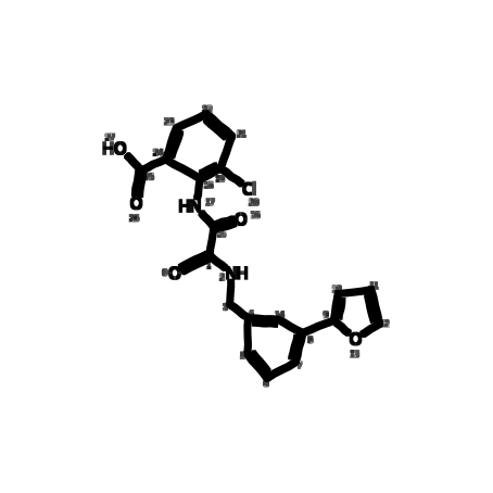 O=C(NCc1cccc(-c2ccco2)c1)C(=O)Nc1c(Cl)cccc1C(=O)O